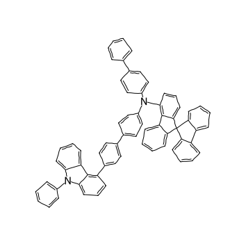 c1ccc(-c2ccc(N(c3ccc(-c4ccc(-c5cccc6c5c5ccccc5n6-c5ccccc5)cc4)cc3)c3cccc4c3-c3ccccc3C43c4ccccc4-c4ccccc43)cc2)cc1